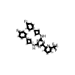 Fc1ccc([C@H]2C[C@H](Nc3nc(N[C@H]4C[C@H](c5ccc(F)cc5)C4)nc(-c4cccc(C(F)(F)F)n4)n3)C2)cc1